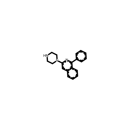 c1ccc(-c2nc(N3CCNCC3)cc3ccccc23)cc1